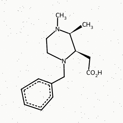 C[C@H]1[C@@H](CC(=O)O)N(Cc2ccccc2)CCN1C